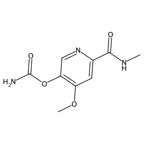 CNC(=O)c1cc(OC)c(OC(N)=O)cn1